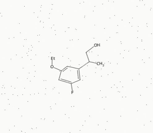 [CH2]C(CO)c1cc(F)cc(OCC)c1